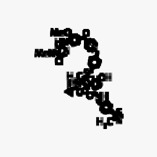 CNc1nc(Nc2ccc(C(=O)N3CCN(CC4CCC(CSC(C)(C)[C@H](NC(=O)C5(F)CC5)C(=O)N5C[C@@H](O)C[C@@H]5C(=O)NCc5ccc(-c6scnc6C)cc5)CC4)CC3)cc2OC)ncc1Cl